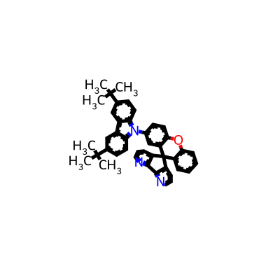 CC(C)(C)c1ccc2c(c1)c1cc(C(C)(C)C)ccc1n2-c1ccc2c(c1)C1(c3ccccc3O2)c2cccnc2-c2ncccc21